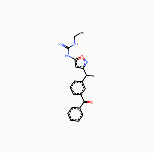 CC(=O)CNC(=N)Nc1cc(C(C)c2cccc(C(=O)c3ccccc3)c2)no1